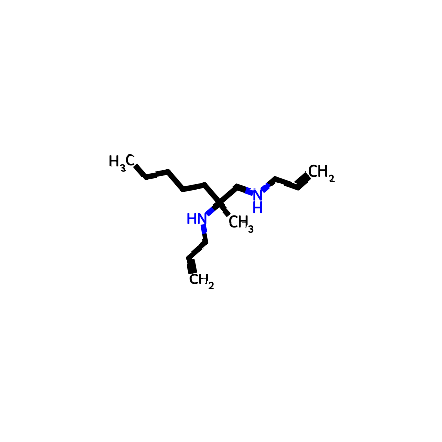 C=CCNCC(C)(CCCCC)NCC=C